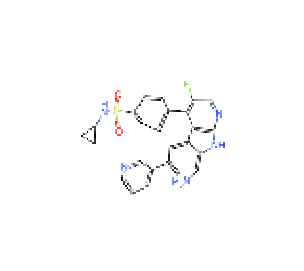 C=C(/C=c1\c(=C/N)[nH]c2ncc(F)c(-c3ccc(S(=O)(=O)NC4CC4)cc3)c12)c1cccnc1